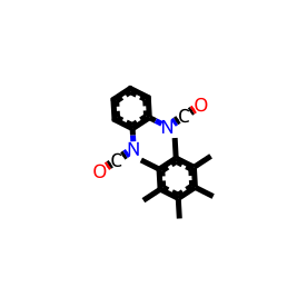 Cc1c(C)c(C)c(C)c(C)c1C.O=C=Nc1ccccc1N=C=O